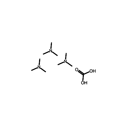 CN(C)C.CN(C)C.CN(C)C.O=C(O)O